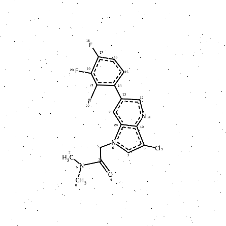 CN(C)C(=O)Cn1cc(Cl)c2ncc(-c3ccc(F)c(F)c3F)cc21